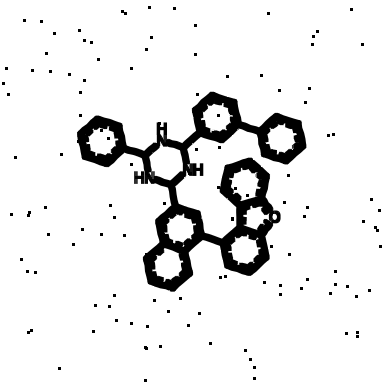 c1ccc(-c2cccc(C3NC(c4ccccc4)NC(c4cc(-c5cccc6oc7ccccc7c56)c5ccccc5c4)N3)c2)cc1